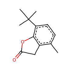 Cc1ccc(C(C)(C)C)c2c1CC(=O)O2